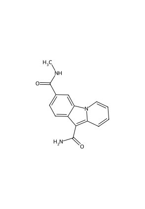 CNC(=O)c1ccc2c(C(N)=O)c3ccccn3c2c1